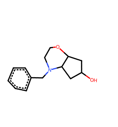 OC1CC2OCCN(Cc3ccccc3)C2C1